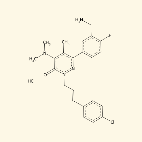 Cc1c(-c2ccc(F)c(CN)c2)nn(CC=Cc2ccc(Cl)cc2)c(=O)c1N(C)C.Cl